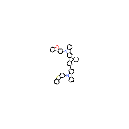 c1ccc2c(c1)oc1cc(-n3c4ccccc4c4cc5c(cc43)-c3ccc(-c4ccc6c7ccccc7n(-c7ccc8sc9ccccc9c8c7)c6c4)cc3C53CCCCC3)ccc12